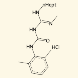 CCCCCCCNC(=NC)NC(=O)Nc1c(C)cccc1C.Cl